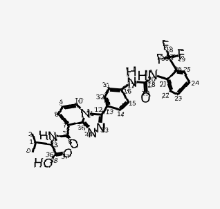 CC(C)C(NC(=O)c1cccn2c(-c3ccc(NC(=O)Nc4ccccc4C(F)(F)F)cc3)nnc12)C(=O)O